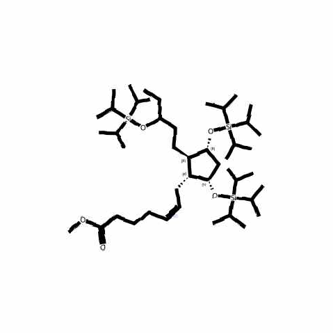 CCC(CC[C@@H]1[C@@H](C/C=C\CCCC(=O)OC)[C@@H](O[Si](C(C)C)(C(C)C)C(C)C)C[C@H]1O[Si](C(C)C)(C(C)C)C(C)C)O[Si](C(C)C)(C(C)C)C(C)C